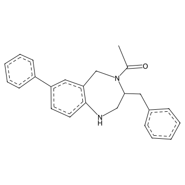 CC(=O)N1Cc2cc(-c3ccccc3)ccc2NCC1Cc1ccccc1